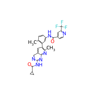 Cc1ccc(NC(=O)c2ccnc(C(F)(F)F)c2)cc1-c1cc2cnc(NC(=O)C3CC3)nc2nc1C